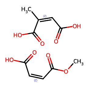 C/C(=C/C(=O)O)C(=O)O.COC(=O)/C=C\C(=O)O